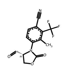 Cc1c(N2C(=O)OC[C@@H]2C=O)ccc(C#N)c1C(F)(F)F